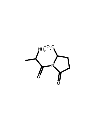 CC(N)C(=O)N1C(=O)CCC1C(=O)O